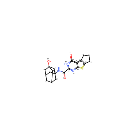 O=C(NC12CC3CC(CC(O)(C3)C1)C2)c1nc2sc3c(c2c(=O)[nH]1)CCC3